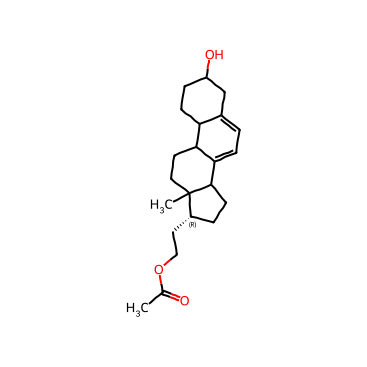 CC(=O)OCC[C@H]1CCC2C3=CC=C4CC(O)CCC4C3CCC21C